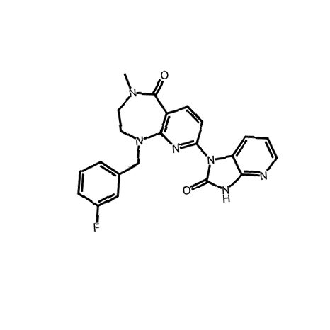 CN1CCN(Cc2cccc(F)c2)c2nc(-n3c(=O)[nH]c4ncccc43)ccc2C1=O